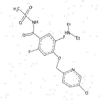 CCNCC.CS(=O)(=O)NC(=O)c1cc(F)c(OCc2ccc(Cl)cn2)cc1F